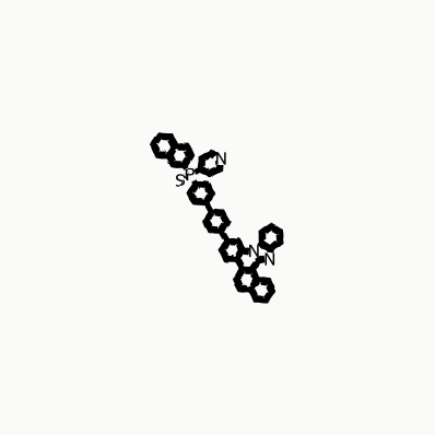 S=P(c1ccncc1)(c1ccc(-c2ccc(-c3ccc4c5ccc6ccccc6c5c5nc6ccccc6n5c4c3)cc2)cc1)c1ccc2ccccc2c1